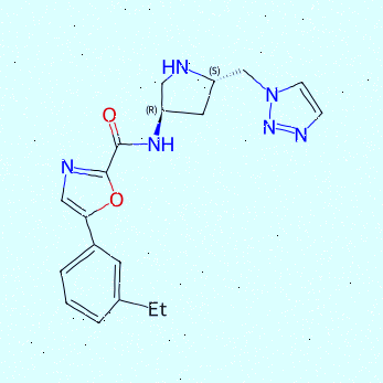 CCc1cccc(-c2cnc(C(=O)N[C@H]3CN[C@H](Cn4ccnn4)C3)o2)c1